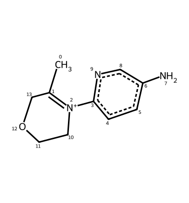 CC1=[N+](c2ccc(N)cn2)CCOC1